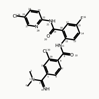 CN(C)C(=N)c1ccc(C(=O)Nc2ccc(F)cc2C(=O)Nc2ccc(Cl)cn2)c(Cl)c1